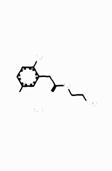 COCCNC(=O)Cc1cc(O)ccc1N.N